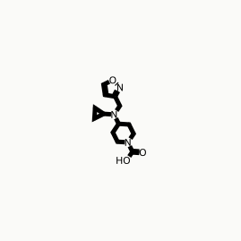 O=C(O)N1CCC(N(Cc2ccon2)C2CC2)CC1